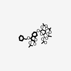 CC(=O)OC[C@H]1O[C@@H](Oc2ccc3c(OCc4ccccc4)c(OC(C)C)c(=O)oc3c2)[C@H](OC(C)=O)[C@@H](OC(C)=O)[C@@H]1OC(C)=O